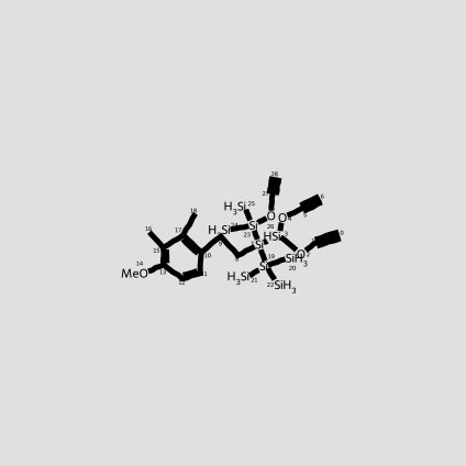 C#CO[SiH](OC#C)[Si](CCc1ccc(OC)c(C)c1C)([Si]([SiH3])([SiH3])[SiH3])[Si]([SiH3])([SiH3])OC#C